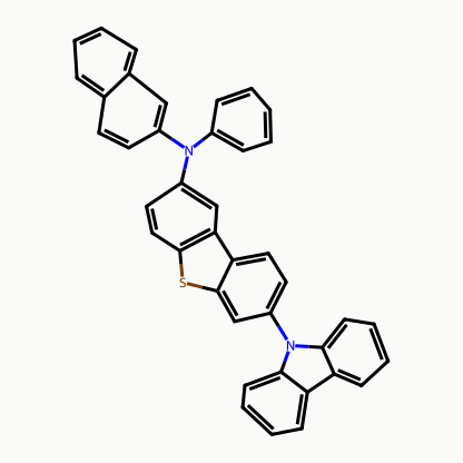 c1ccc(N(c2ccc3ccccc3c2)c2ccc3sc4cc(-n5c6ccccc6c6ccccc65)ccc4c3c2)cc1